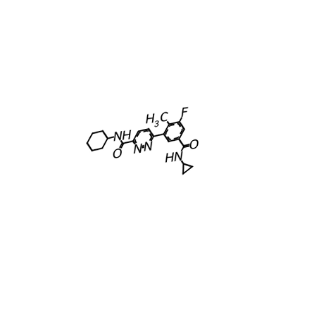 Cc1c(F)cc(C(=O)NC2CC2)cc1-c1ccc(C(=O)NC2CCCCC2)nn1